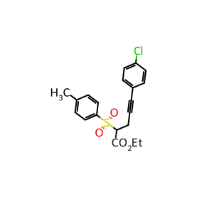 CCOC(=O)C(CC#Cc1ccc(Cl)cc1)S(=O)(=O)c1ccc(C)cc1